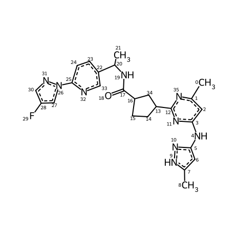 Cc1cc(Nc2cc(C)[nH]n2)nc(C2CCC(C(=O)NC(C)c3ccc(-n4cc(F)cn4)nc3)C2)n1